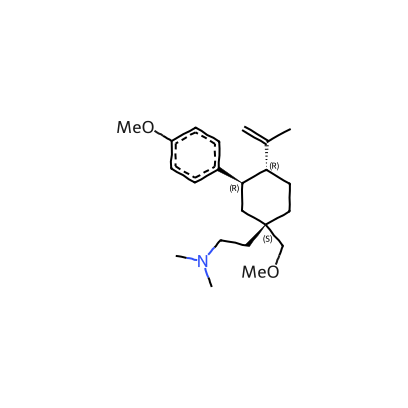 C=C(C)[C@@H]1CC[C@](CCN(C)C)(COC)C[C@H]1c1ccc(OC)cc1